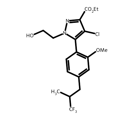 CCOC(=O)c1nn(CCO)c(-c2ccc(CC(C)C(F)(F)F)cc2OC)c1Cl